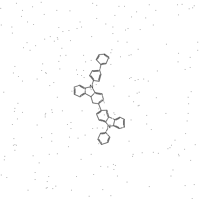 C1=C(c2ccc3c(c2)c2ccccc2n3-c2ccccc2)CC2C(=C1)N(c1ccc(-c3ccccc3)cc1)c1ccccc12